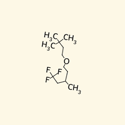 CC(CCOCCC(C)(C)C)CC(F)(F)F